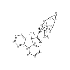 CC1(OC(=O)C2(C)c3ccccc3-c3ccccc32)CC2C3OC3C(C1)[N+]2(C)C